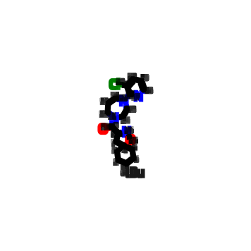 CC(C)(C)[C@H]1CC[C@@]2(CC1)CC(C(=O)N1CCCN(c3ncccc3Cl)CC1)=NO2